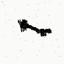 Cc1ncsc1-c1ccc(CNC(=O)[C@@H]2C[C@@H](O)CN2C(=O)CNC(=O)COCCOCCOCCOCCn2ccc3c(Nc4nc(N[C@@H]5CCCC[C@@H]5N)cc5nc[nH]c(=O)c45)cccc32)cc1